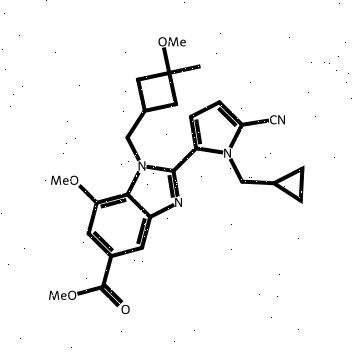 COC(=O)c1cc(OC)c2c(c1)nc(-c1ccc(C#N)n1CC1CC1)n2CC1CC(C)(OC)C1